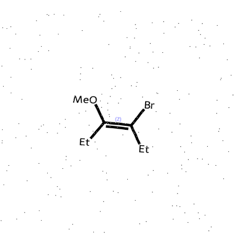 CC/C(Br)=C(\CC)OC